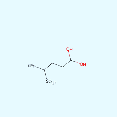 CCCC(CCC(O)O)S(=O)(=O)O